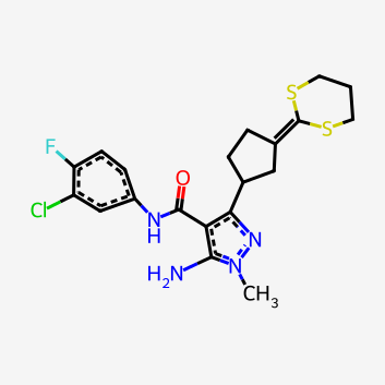 Cn1nc(C2CCC(=C3SCCCS3)C2)c(C(=O)Nc2ccc(F)c(Cl)c2)c1N